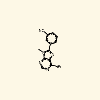 CC(C)c1ncnc2c1nc(-c1cccc(C#N)c1)n2C